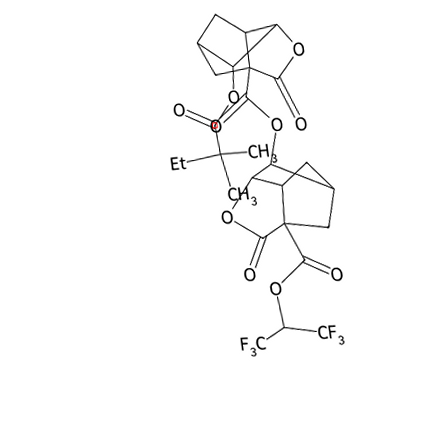 CCC(C)(C)C(=O)OC1C2CC3C1OC(=O)C3(C(=O)OC1C3CC4C1OC(=O)C4(C(=O)OC(C(F)(F)F)C(F)(F)F)C3)C2